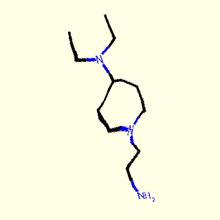 CCN(CC)C1CCN(CCN)CC1